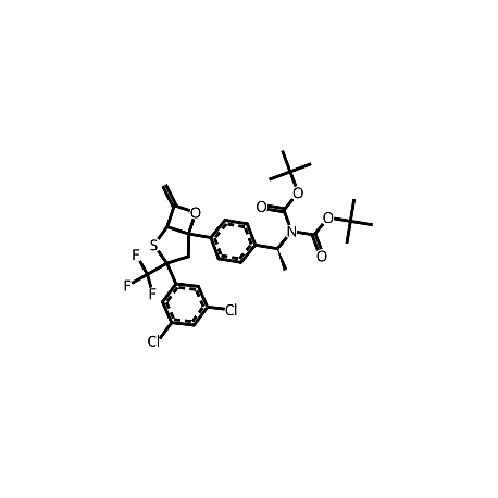 C=C1OC2(c3ccc([C@H](C)N(C(=O)OC(C)(C)C)C(=O)OC(C)(C)C)cc3)CC(c3cc(Cl)cc(Cl)c3)(C(F)(F)F)SC12